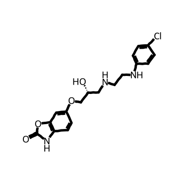 O=c1[nH]c2ccc(OC[C@H](O)CNCCNc3ccc(Cl)cc3)cc2o1